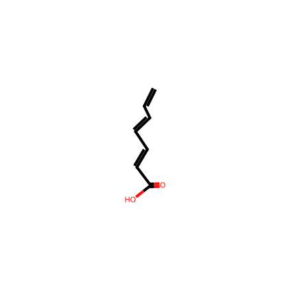 C=C/C=C/C=C/C(=O)O